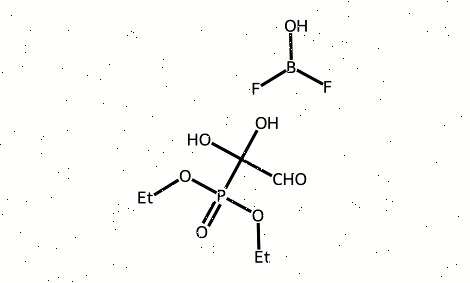 CCOP(=O)(OCC)C(O)(O)C=O.OB(F)F